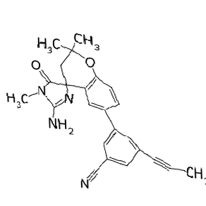 CC#Cc1cc(C#N)cc(-c2ccc3c(c2)C2(CC(C)(C)O3)N=C(N)N(C)C2=O)c1